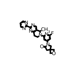 CC1c2cnc(-c3ncccn3)nc2CCN1c1cc(N2CC3(COC3)CC2=O)cc(F)n1